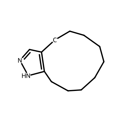 c1n[nH]c2c1CCCCCCCCC2